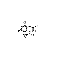 C=C(Cc1ccc(Cl)nc1Cl)C(=O)O.CCNC1CC1